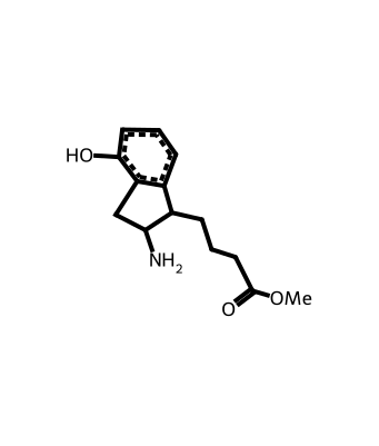 COC(=O)CCCC1c2cccc(O)c2CC1N